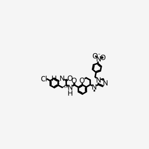 CN(c1cncn1Cc1ccc([N+](=O)[O-])cc1)C1CCOc2c(C(=O)N[C@@H](Cc3ccc(Cl)cc3)C(N)=O)cccc21